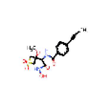 CC#Cc1ccc(C(=O)NC(C(=O)NO)C2(OC)CS(=O)(=O)C2)cc1